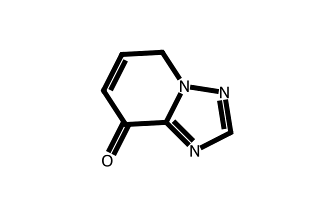 O=C1C=CCn2ncnc21